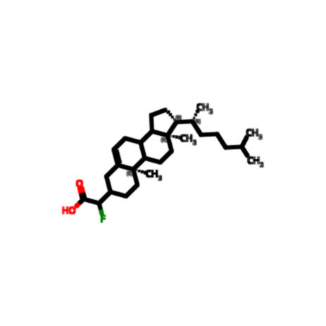 CC(C)CCC[C@@H](C)[C@H]1CCC2C3CC=C4CC(C(F)C(=O)O)CC[C@]4(C)C3CC[C@@]21C